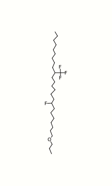 CCCCCCCCCC(CCCCCCC(F)CCCCCCCOCCC)C(F)(F)F